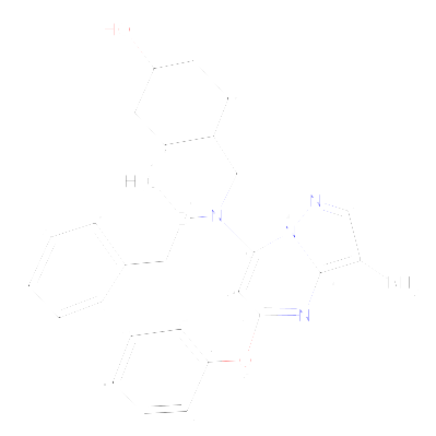 Bc1cnn2c(N(CC3CCC(O)CC3)B(C)Cc3ccccc3)cc(Oc3ccccc3)nc12